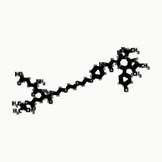 Cc1sc2c(c1C)C(c1ccc(Cl)cc1)=N[C@@H](CC(=O)Nc1ccc(OCCOCCOCCNC(=O)C(CCC(=O)OC(C)(C)C)NC(=O)C(N)CCC(=O)O)cc1)c1nnc(C)n1-2